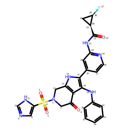 O=C1CN(S(=O)(=O)c2cnc[nH]2)Cc2[nH]c(-c3ccnc(NC(=O)[C@H]4C[C@H]4F)c3)c(Nc3ccccc3)c21